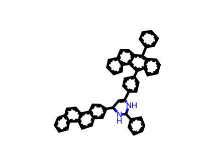 C1=C(c2ccc(-c3c4ccccc4c(-c4ccccc4)c4ccc5ccccc5c34)cc2)NC(c2ccccc2)NC1c1ccc2c(ccc3c4ccccc4ccc23)c1